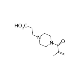 C=C(C)C(=O)N1CCN(CCC(=O)O)CC1